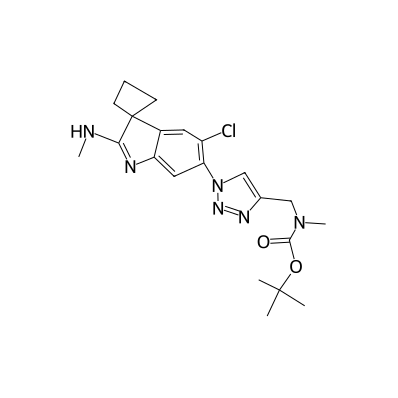 CNC1=Nc2cc(-n3cc(CN(C)C(=O)OC(C)(C)C)nn3)c(Cl)cc2C12CCC2